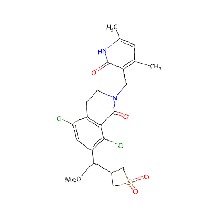 COC(c1cc(Cl)c2c(c1Cl)C(=O)N(Cc1c(C)cc(C)[nH]c1=O)CC2)C1CS(=O)(=O)C1